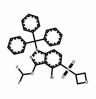 O=S(=O)(c1ccc2c(c(OC(F)F)nn2C(c2ccccc2)(c2ccccc2)c2ccccc2)c1Br)C1COC1